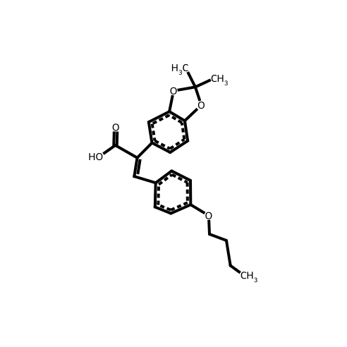 CCCCOc1ccc(/C=C(/C(=O)O)c2ccc3c(c2)OC(C)(C)O3)cc1